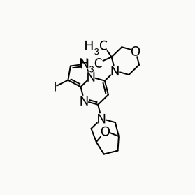 CC1(C)COCCN1c1cc(N2CC3CCC(C2)O3)nc2c(I)cnn12